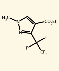 CCOC(=O)c1cn(C)nc1C(F)(F)C(F)(F)F